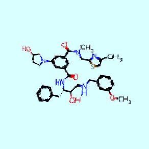 COc1cccc(CNC[C@@H](O)[C@H](Cc2ccccc2)NC(=O)c2cc(C(=O)N(C)Cc3nc(C)cs3)cc(N3CCC(O)C3)c2)c1